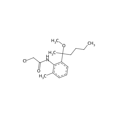 CCCCC(C)(OC)c1cccc(C)c1NC(=O)CCl